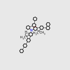 CC1(C)c2cc(-c3ccc(-c4ccccc4)cc3)ccc2-c2ccc(N(c3ccc4c(c3)C(C)(C)c3cc(-c5cccc6ccccc56)ccc3-4)c3ccccc3-c3cccc(-c4ccccc4)c3)cc21